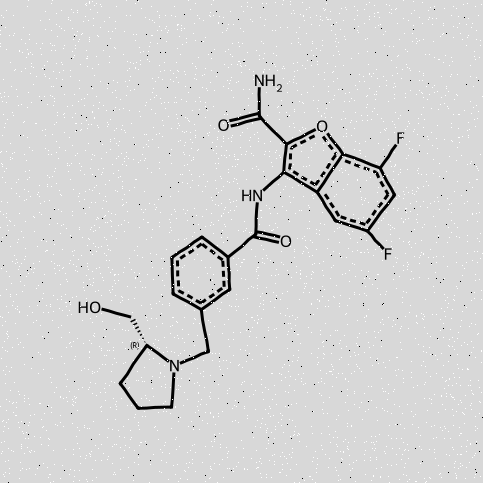 NC(=O)c1oc2c(F)cc(F)cc2c1NC(=O)c1cccc(CN2CCC[C@@H]2CO)c1